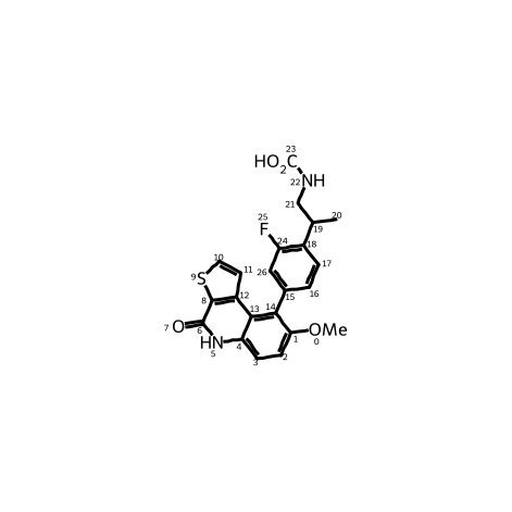 COc1ccc2[nH]c(=O)c3sccc3c2c1-c1ccc(C(C)CNC(=O)O)c(F)c1